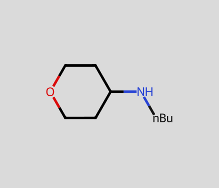 [CH2]CCCNC1CCOCC1